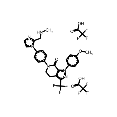 CNCc1nccn1-c1ccc(N2CCc3c(C(F)(F)F)nn(-c4ccc(OC)cc4)c3C2=O)cc1.O=C(O)C(F)(F)F.O=C(O)C(F)(F)F